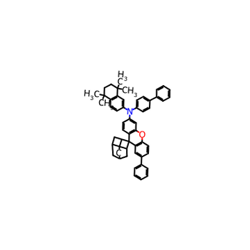 CC1(C)CCC(C)(C)c2cc(N(c3ccc(-c4ccccc4)cc3)c3ccc4c(c3)Oc3ccc(-c5ccccc5)cc3C43C4CC5CC6CC3C64C5)ccc21